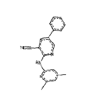 Cc1cc(C)nc(Nc2ncc(-c3ccccc3)cc2C#N)c1